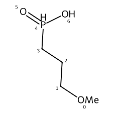 COCCC[PH](=O)O